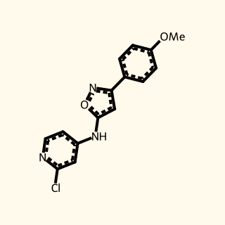 COc1ccc(-c2cc(Nc3ccnc(Cl)c3)on2)cc1